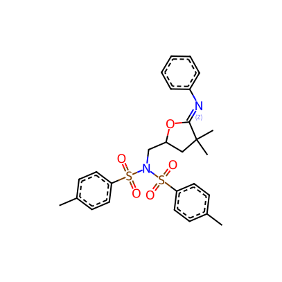 Cc1ccc(S(=O)(=O)N(CC2CC(C)(C)/C(=N/c3ccccc3)O2)S(=O)(=O)c2ccc(C)cc2)cc1